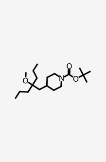 CCCC(CCC)(CC1CCN(C(=O)OC(C)(C)C)CC1)OC